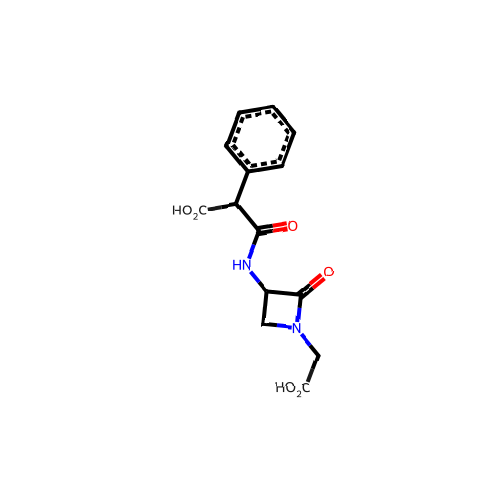 O=C(O)CN1CC(NC(=O)C(C(=O)O)c2ccccc2)C1=O